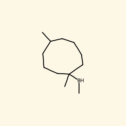 CBC1(C)CCCCC(C)CCC1